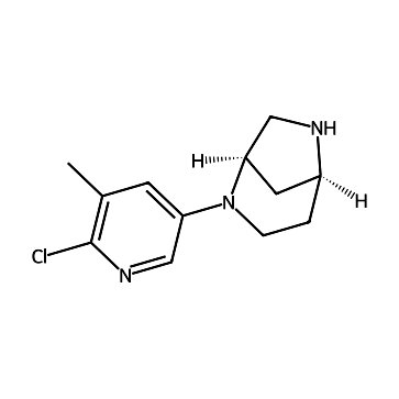 Cc1cc(N2CC[C@H]3C[C@@H]2CN3)cnc1Cl